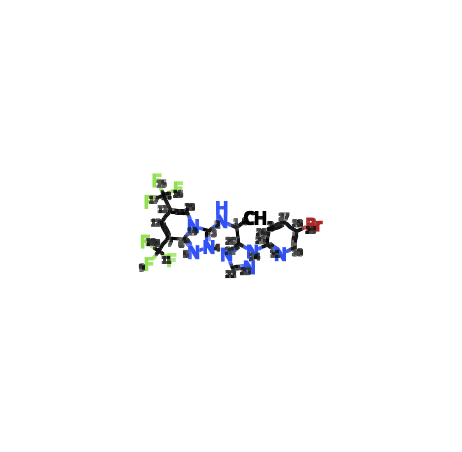 CC(Nc1nnc2c(C(F)(F)F)cc(C(F)(F)F)cn12)c1ncnn1-c1ccc(Br)cn1